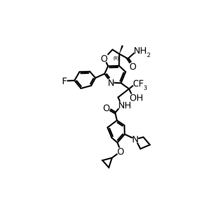 C[C@]1(C(N)=O)COc2c1cc(C(O)(CNC(=O)c1ccc(OC3CC3)c(N3CCC3)c1)C(F)(F)F)nc2-c1ccc(F)cc1